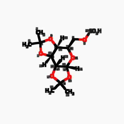 CC1(C)O[C@H]2[C@@H](O1)[C@@H](COS(=O)(=O)O)O[C@@H]1OC(C)(C)O[C@@H]12